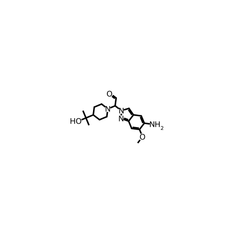 COc1cc2nn(C(C=O)N3CCC(C(C)(C)O)CC3)cc2cc1N